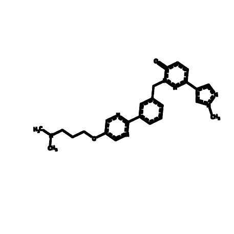 CN(C)CCCOc1cnc(-c2cccc(Cn3nc(-c4cnn(C)c4)ccc3=O)c2)nc1